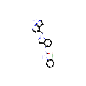 O=C(Nc1ccccc1F)Nc1cccc2c1CCN2Cc1ccnc2[nH]ccc12